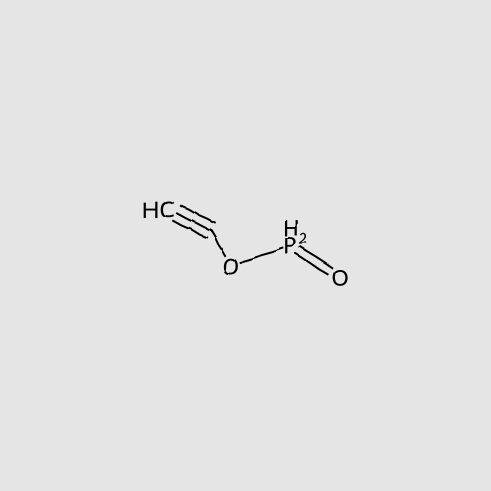 C#CO[PH2]=O